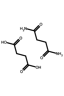 NC(=O)CCC(N)=O.O=C(O)CCC(=O)O